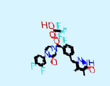 Cc1c(Cc2ccc(F)c(C(=O)N3CCN(c4ccc(F)c(F)c4)C(=O)C3)c2)n[nH]c(=O)c1C.O=C(O)C(F)(F)F